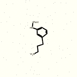 CCCCCNc1cccc(CCCN)c1